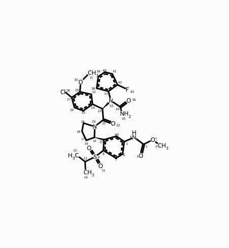 COC(=O)Nc1ccc(S(=O)(=O)C(C)C)c([C@H]2CCCN2C(=O)[C@@H](c2ccc(Cl)c(OC)c2)N(C(N)=O)c2ccccc2F)c1